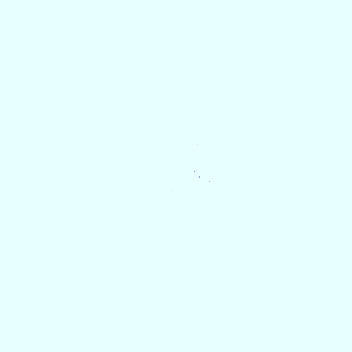 CC(C)N1C2Cc3ccccc3C1(C)c1ccccc12